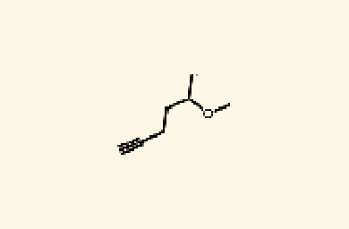 C#CCCC([CH2])OC